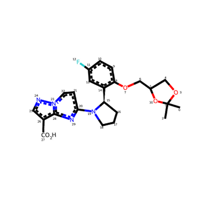 CC1(C)OCC(COc2ccc(F)cc2[C@H]2CCCN2c2ccn3ncc(C(=O)O)c3n2)O1